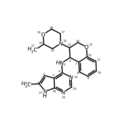 Cc1cc2c(NC3c4ccccc4OCC3N3CCOC(C)C3)ncnc2[nH]1